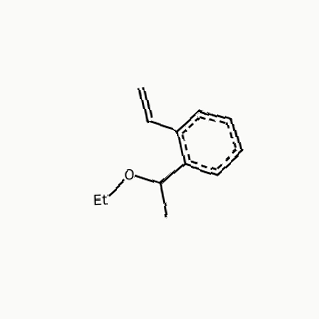 C=Cc1ccccc1C(C)OCC